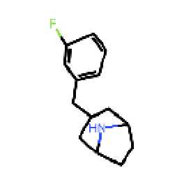 Fc1cccc(CC2CC3CCC(C2)N3)c1